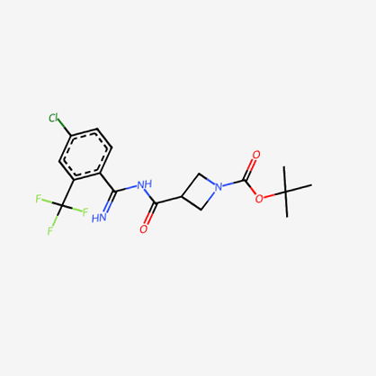 CC(C)(C)OC(=O)N1CC(C(=O)NC(=N)c2ccc(Cl)cc2C(F)(F)F)C1